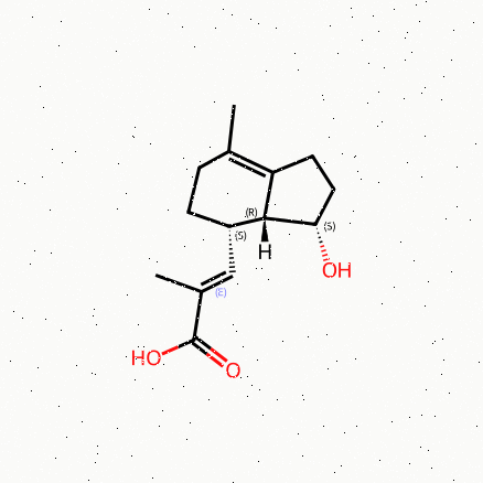 CC1=C2CC[C@H](O)[C@@H]2[C@H](/C=C(\C)C(=O)O)CC1